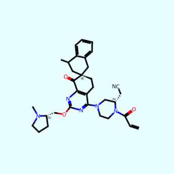 C=CC(=O)N1CCN(c2nc(OC[C@@H]3CCCN3C)nc3c2CC[C@@]2(Cc4ccccc4C(C)C2)C3=O)C[C@@H]1CC#N